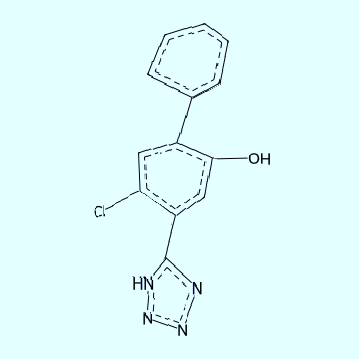 Oc1cc(-c2nnn[nH]2)c(Cl)cc1-c1ccccc1